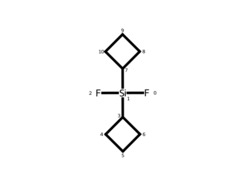 F[Si](F)(C1CCC1)C1CCC1